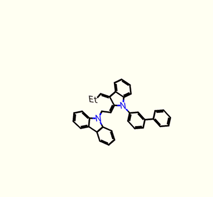 CC/C=c1\c(=C/CN2c3ccccc3C3C=CC=CC32)n(-c2cccc(-c3ccccc3)c2)c2ccccc12